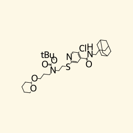 CC(C)(C)OC(=O)N(CCCOC1CCCCO1)CCSc1cc(C(=O)NCC23CC4CC(CC(C4)C2)C3)c(Cl)cn1